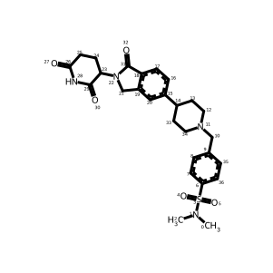 CN(C)S(=O)(=O)c1ccc(CN2CCC(c3ccc4c(c3)CN(C3CCC(=O)NC3=O)C4=O)CC2)cc1